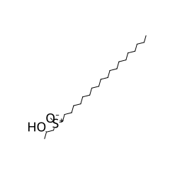 CCCCCCCCCCCCCCCCCCCC[S+]([O-])CC(C)O